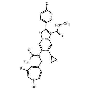 CNC(=O)c1c(-c2ccc(Cl)cc2)oc2cc(N(CC3=CC(F)=CB(O)C=C3)[S+](C)[O-])c(C3CC3)cc12